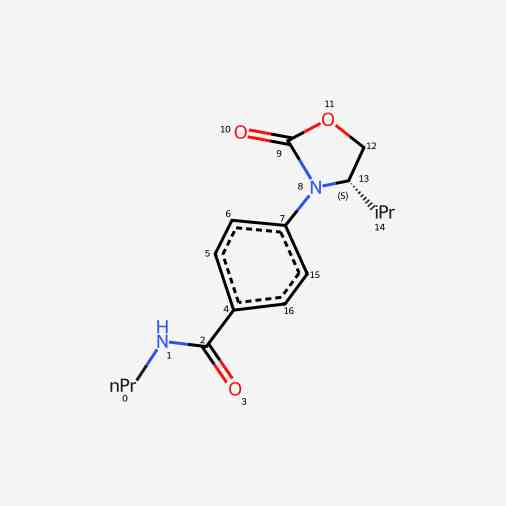 CCCNC(=O)c1ccc(N2C(=O)OC[C@@H]2C(C)C)cc1